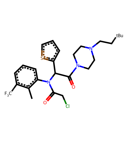 Cc1c(N(C(=O)CCl)C(C(=O)N2CCN(CCC(C)(C)C)CC2)c2cccs2)cccc1C(F)(F)F